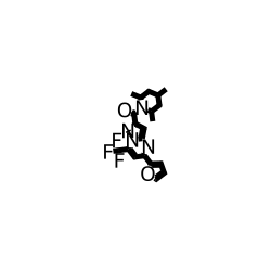 CC1CC(C)N(C(=O)c2cc3nc(-c4ccco4)cc(C(F)(F)F)n3n2)C(C)C1